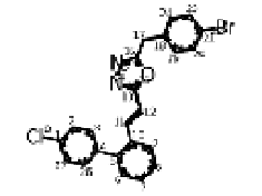 Clc1ccc(-c2ccccc2/C=C/c2nnc(Cc3ccc(Br)cc3)o2)cc1